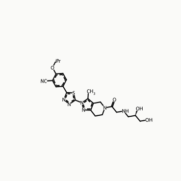 Cc1c2c(nn1-c1nnc(-c3ccc(OC(C)C)c(C#N)c3)s1)CCN(C(=O)CNC[C@@H](O)CO)C2